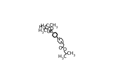 CC(C)COC(=O)CN1CCN(c2ccc(B3OC(C)(C)C(C)(C)O3)cc2)CC1